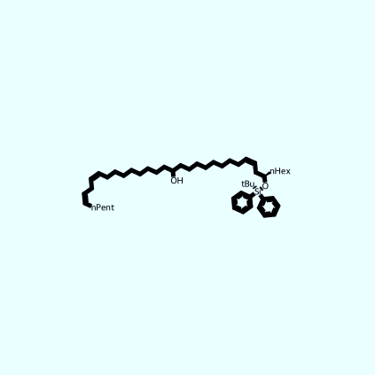 CCCCC/C=C\C/C=C\CCCCCCCCC(O)CCCCCCCC/C=C\C[C@@H](CCCCCC)O[Si](c1ccccc1)(c1ccccc1)C(C)(C)C